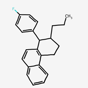 CCCC1CCc2c(ccc3ccccc23)C1c1ccc(F)cc1